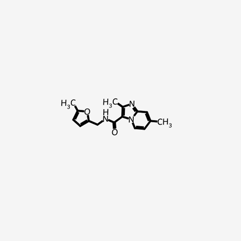 Cc1ccn2c(C(=O)NCc3ccc(C)o3)c(C)nc2c1